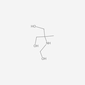 CC(CO)(CO)NCO